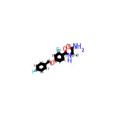 C[C@H](NC(=O)c1ccc(OCc2ccc(F)cc2)cc1F)C(N)=O